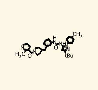 Cc1ccc(-n2nc(C(C)(C)C)cc2NC(=O)Nc2cccc(CC3CCN(C(=O)c4cccnc4C)CC3)c2)cc1